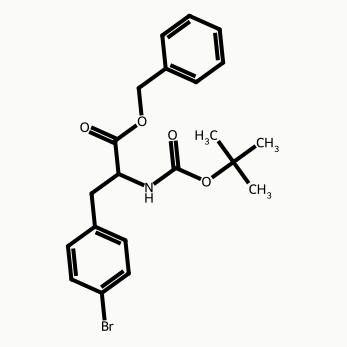 CC(C)(C)OC(=O)NC(Cc1ccc(Br)cc1)C(=O)OCc1ccccc1